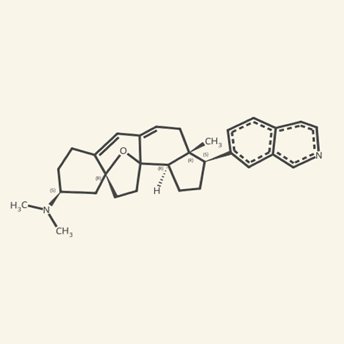 CN(C)[C@H]1CCC2=CC3=CC[C@]4(C)[C@@H](c5ccc6ccncc6c5)CC[C@H]4C34CC[C@]2(C1)O4